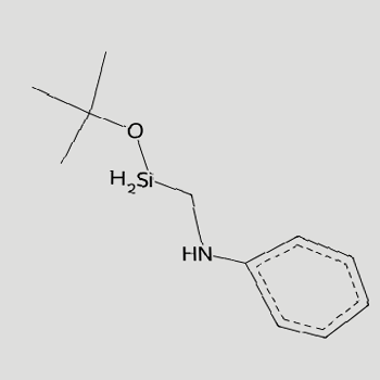 CC(C)(C)O[SiH2]CNc1ccccc1